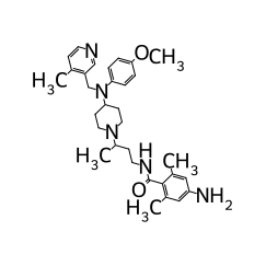 COc1ccc(N(Cc2cnccc2C)C2CCN(C(C)CCNC(=O)c3c(C)cc(N)cc3C)CC2)cc1